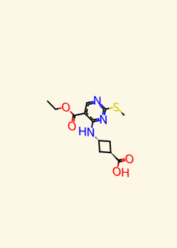 CCOC(=O)c1cnc(SC)nc1N[C@H]1C[C@H](C(=O)O)C1